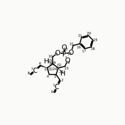 C=C=CC1C[C@@H](C=C=C)[C@H]2COP(=O)(OCc3ccccc3)OC[C@@H]12